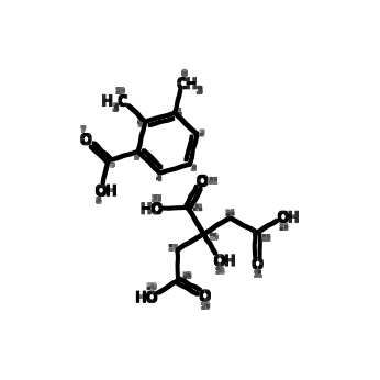 Cc1cccc(C(=O)O)c1C.O=C(O)CC(O)(CC(=O)O)C(=O)O